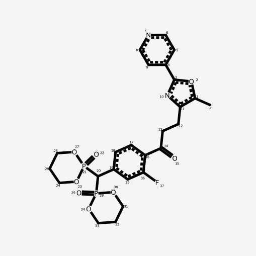 Cc1oc(-c2ccncc2)nc1CCC(=O)c1ccc(C(P2(=O)OCCCO2)P2(=O)OCCCO2)cc1F